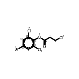 O=C(CCCl)Oc1c(Cl)cc(Br)cc1Cl